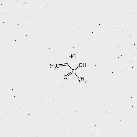 C=CP(C)(=O)O.Cl